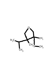 CSC1(C)COCC1(C)C(C)C